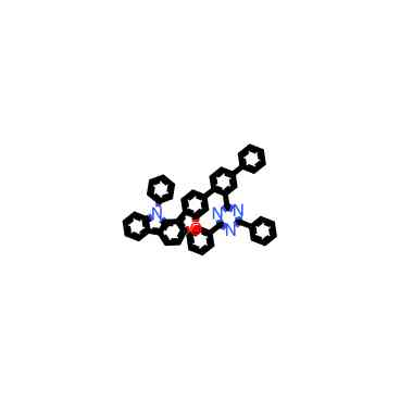 c1ccc(-c2ccc(-c3ccc4c(c3)oc3ccc5c6ccccc6n(-c6ccccc6)c5c34)c(-c3nc(-c4ccccc4)nc(-c4ccccc4)n3)c2)cc1